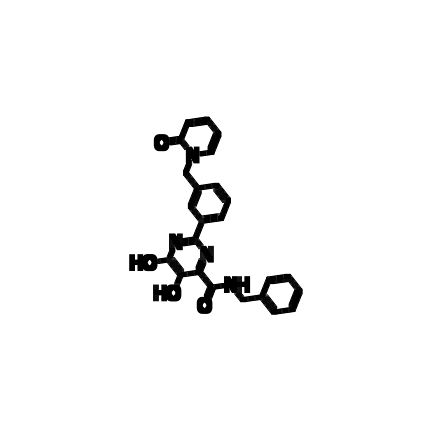 O=C(NCc1ccccc1)c1nc(-c2cccc(Cn3ccccc3=O)c2)nc(O)c1O